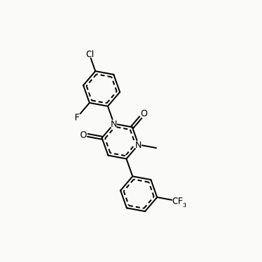 Cn1c(-c2cccc(C(F)(F)F)c2)cc(=O)n(-c2ccc(Cl)cc2F)c1=O